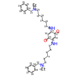 CCN(CCCCCCNC1=CC(=O)C(NCCCCCCN(CC)Cc2ccccc2)=CC1=O)Cc1ccccc1